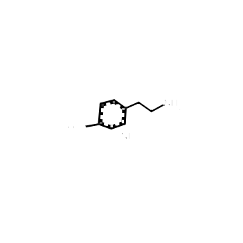 N.NCCc1ccc(S(=O)(=O)O)cc1